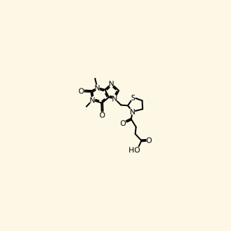 Cn1c(=O)c2c(ncn2CC2SCCN2C(=O)CCC(=O)O)n(C)c1=O